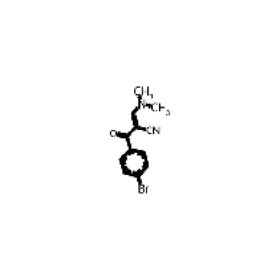 CN(C)/C=C(\C#N)C(=O)c1ccc(Br)cc1